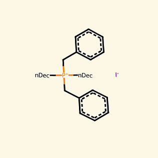 CCCCCCCCCC[P+](CCCCCCCCCC)(Cc1ccccc1)Cc1ccccc1.[I-]